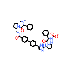 COC(=O)N[C@@H](C(=O)N1CCC[C@H]1c1ncc(-c2ccc(-c3ccc(C(=O)NC[C@@H]4CCCN4C(=O)[C@@H](c4ccccc4)N(C)C)cc3)cc2)[nH]1)c1ccccc1